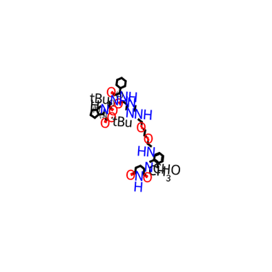 CN(Cc1c(C=O)cccc1NCCOCCOCCNc1cnc(C(=O)N[C@H](C(=O)N[C@H](C(=O)N2C[C@@H]3CCCC3[C@H]2C(=O)OC(C)(C)C)C(C)(C)C)C2CCCCC2)cn1)C1CCC(=O)NC1=O